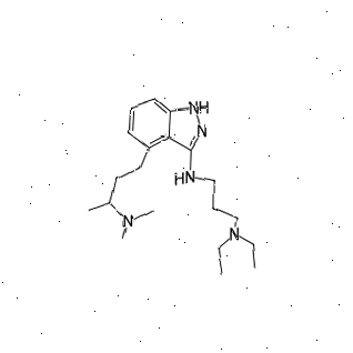 CCN(CC)CCCNc1n[nH]c2cccc(CCC(C)N(C)C)c12